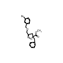 COC(=O)C1(Cc2ccccc2)CC(COCc2cccc(Br)c2)=NO1